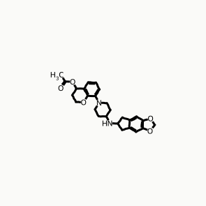 CC(=O)OC1CCOc2c1cccc2N1CCC(NC2Cc3cc4c(cc3C2)OCO4)CC1